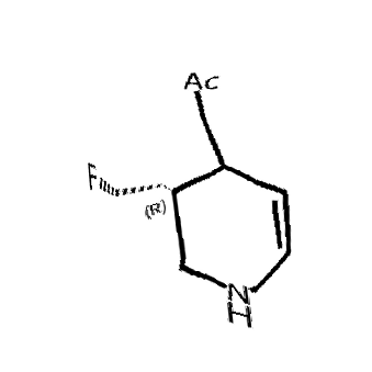 CC(=O)C1C=CNC[C@@H]1F